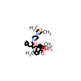 CC(C)C1=CC2CC3(C=O)[C@@H]4CC[C@@H](C)[C@H]4CC2(C2CC(CC4CCCC4)C(CN4CCC(N5C[C@@H](C)O[C@@H](C)C5)CC4)O2)C13C(=O)O